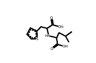 CC(C)CC(NC(Cc1cccs1)C(=O)O)C(=O)O